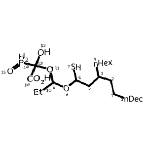 CCCCCCCCCCCCC(CCCCCC)CC(S)OC(CC)OC(O)([PH2]=O)C(=O)O